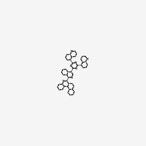 c1ccc2c(c1)ccc1c(-c3ncc(-c4nc(-c5cccc6ncccc56)nc(-c5cccc6ncccc56)n4)c4ccccc34)nc3ccccc3c12